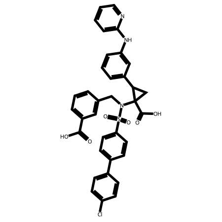 O=C(O)c1cccc(CN(C2(C(=O)O)CC2c2cccc(Nc3ccccn3)c2)S(=O)(=O)c2ccc(-c3ccc(Cl)cc3)cc2)c1